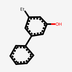 CCc1cc(O)cc(-c2ccccc2)c1